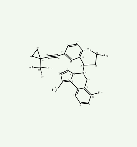 Cc1ncn2[n+]1-c1cccc(F)c1CN2N(CC(F)F)c1cncc(C#CC2(C(F)(F)F)CC2)c1